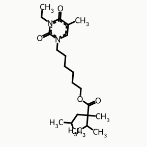 CCn1c(=O)c(C)cn(CCCCCCOC(=O)C(C)(CC(C)C)C(C)C)c1=O